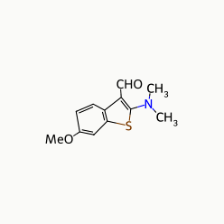 COc1ccc2c(C=O)c(N(C)C)sc2c1